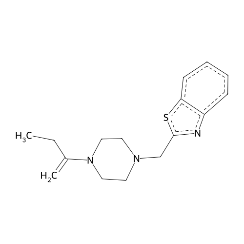 C=C(CC)N1CCN(Cc2nc3ccccc3s2)CC1